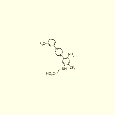 O=C(O)CCNc1cc(N2CCN(c3cccc(C(F)(F)F)c3)CC2)c([N+](=O)[O-])cc1C(F)(F)F